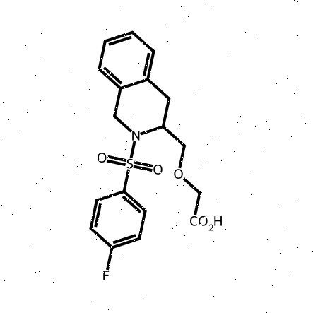 O=C(O)COCC1Cc2ccccc2CN1S(=O)(=O)c1ccc(F)cc1